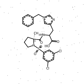 C[C@@]1(C(=O)NC(Cc2cn(Cc3ccccc3)cn2)C(=O)O)CCCN1S(=O)(=O)c1cc(Cl)cc(Cl)c1